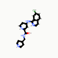 O=C(NCc1ccncc1)c1cc(Nc2nccc3ccc(Cl)cc23)ccn1